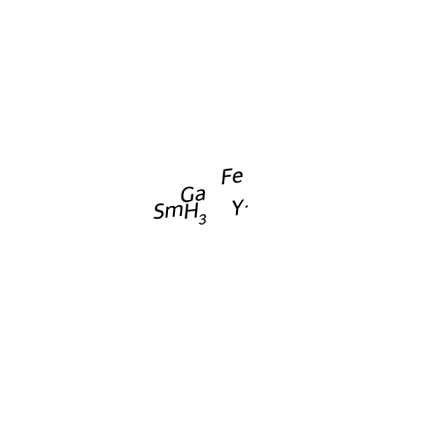 [Fe].[GaH3].[Sm].[Y]